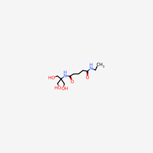 CCNC(=O)CCCC(=O)NC(CO)(CO)CO